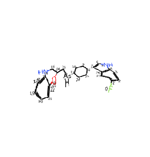 Fc1ccc2[nH]cc([C@H]3CC[C@@H]([AsH]CC4CNc5ccccc5O4)CC3)c2c1